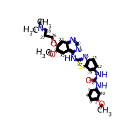 COc1cccc(NC(=O)Nc2ccc3nc(Nc4ncnc5cc(OCCCN(C)C)c(OC)cc45)sc3c2)c1